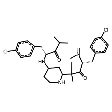 CN[C@H](Cc1ccc(Cl)cc1)C(=O)C(C)(C)C1CC(N[C@H](Cc2ccc(Cl)cc2)C(=O)C(C)C)CCN1